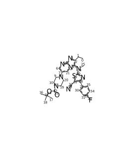 CCc1nc2ncc(N3CCN(C(=O)OC(C)(C)C)CC3)cn2c1N(C)c1nc(-c2ccc(F)cc2)c(C#N)s1